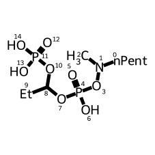 CCCCCN(C)OP(=O)(O)OC(CC)OP(=O)(O)O